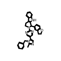 Cc1ncc(-c2cnc(N3CCc4c([nH]c5ccccc45)C3c3ccc4c(c3)CCO4)nc2)n1Cc1ccccc1